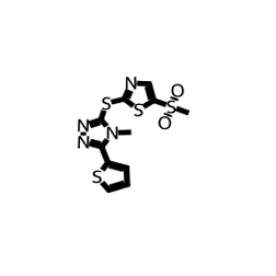 Cn1c(Sc2ncc(S(C)(=O)=O)s2)nnc1-c1cccs1